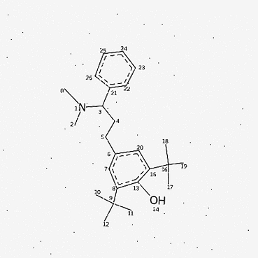 CN(C)C(CCc1cc(C(C)(C)C)c(O)c(C(C)(C)C)c1)c1ccccc1